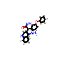 NC(=O)C(c1cccc(Oc2ccccc2)c1)c1cnc2ccccc2c1N